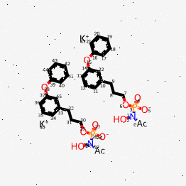 CC(=O)N(O)P(=O)([O-])OCCCc1cccc(Oc2ccccc2)c1.CC(=O)N(O)P(=O)([O-])OCCCc1cccc(Oc2ccccc2)c1.[K+].[K+]